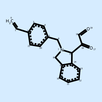 C=Cc1ccc(CN2Cc3ccccc3C2C(=O)C=O)cc1